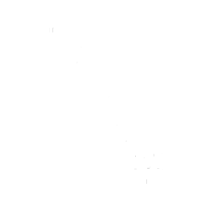 CCCCC=CCCCCCCCCCCOC(=O)C(F)(F)F